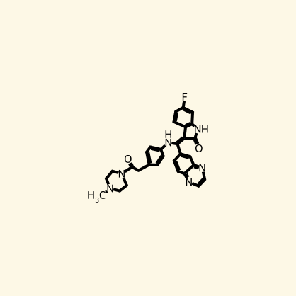 CN1CCN(C(=O)Cc2ccc(NC(=C3C(=O)Nc4cc(F)ccc43)c3ccc4nccnc4c3)cc2)CC1